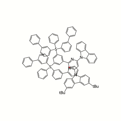 CC(C)(C)c1ccc2c(c1)c1cc(C(C)(C)C)ccc1n2-c1cc(-n2c3ccccc3c3ccccc32)nc(-c2cc(S(c3ccccc3)(c3cccc(-c4ccccc4)c3)c3cccc(-c4ccccc4)c3)cc(S(c3ccccc3)(c3cccc(-c4ccccc4)c3)c3cccc(-c4ccccc4)c3)c2)n1